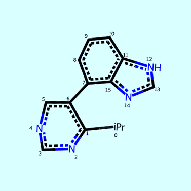 CC(C)c1ncncc1-c1cccc2[nH]cnc12